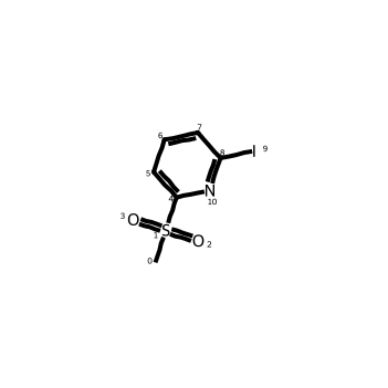 CS(=O)(=O)c1cccc(I)n1